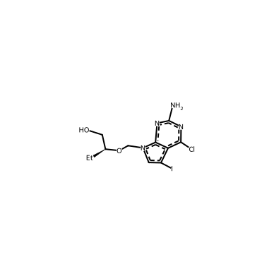 CC[C@@H](CO)OCn1cc(I)c2c(Cl)nc(N)nc21